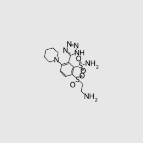 NCCS(=O)(=O)c1ccc(N2CCCCC2)c(-c2nnn[nH]2)c1S(N)(=O)=O